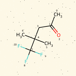 CC(=O)CC(C)(C)C(F)(F)F